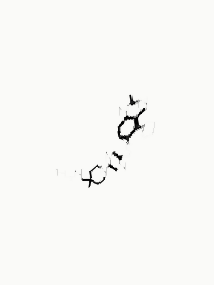 Cc1ncc2c(Cl)c(Sc3cnc(N4CCC(C)(CN)CC4)cn3)ccc2n1